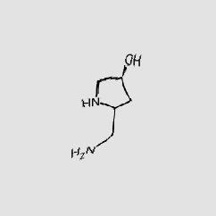 NCC1C[C@H](O)CN1